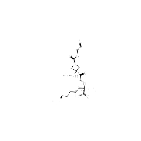 C=CCCCC[C@@](C)(NCC(=O)C1(NC(C)C)CN(C(=O)OCC=C)C1)C(=O)C(C)C